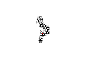 COc1nc(-c2cccc(-c3cccc(-c4ccn5c(=O)c(CNCC6CCC(=O)N6)cnc5c4)c3Cl)c2Cl)ccc1CN1CC(C(C)(C)O)C1